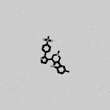 Cc1ccc2[nH]c3c(c2c1)CN(C)CC3c1ccsc1-c1ccc(S(C)(=O)=O)cc1